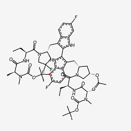 CC[C@H](NC(=O)[C@H](C)N(C)C(=O)OC(C)(C)C)C(=O)N1C[C@@H](OC(C)=O)C[C@H]1Cc1c(-c2[nH]c3cc(F)ccc3c2C[C@@H]2CC(F)(F)CN2C(=O)[C@H](CC)NC(=O)[C@H](C)N(C)C(=O)OC(C)(C)C)[nH]c2cc(F)ccc12